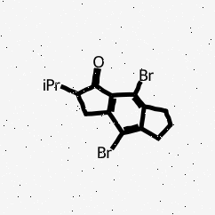 CC(C)C1Cc2c(Br)c3c(c(Br)c2C1=O)CCC3